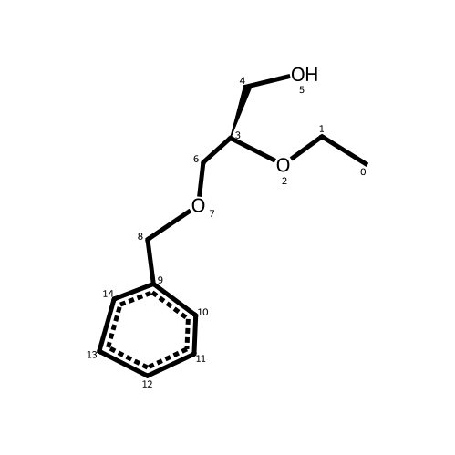 CCO[C@H](CO)COCc1ccccc1